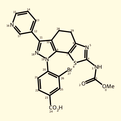 COC(=O)Nc1nc2c(s1)-c1c(c(-c3cccnc3)nn1-c1ccc(C(=O)O)cc1Br)CC2